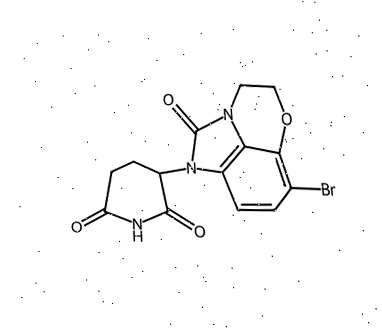 O=C1CCC(n2c(=O)n3c4c(c(Br)ccc42)OCC3)C(=O)N1